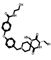 CCCCN1C(=O)[C@H](CC(C)C)NC(=O)C12CCN(Cc1ccc(Oc3ccc(C(=O)NCCO)cc3)cc1)CC2